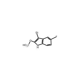 CCc1c(OC(=O)O)[nH]c2ccc(F)cc12